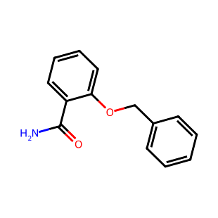 NC(=O)c1ccccc1OCc1ccccc1